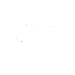 Cc1cc(NC(=O)c2cccc(C(F)(F)C(=O)N3[C@@H]4CC[C@H]3C[C@H](O)C4)c2F)ccc1F